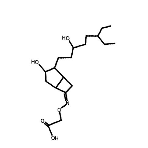 CCC(CC)CCC(O)CCC1C(O)CC2C(=NOCC(=O)O)CC21